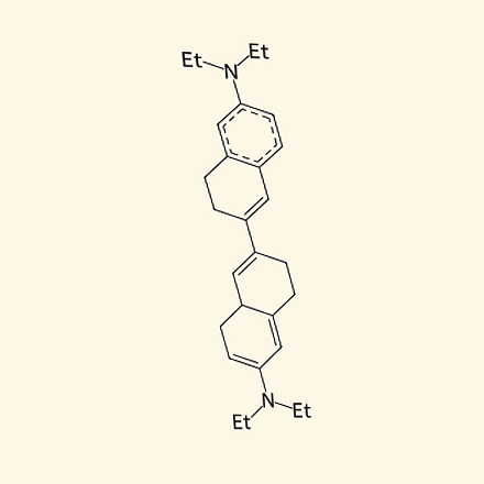 CCN(CC)C1=CCC2C=C(C3=Cc4ccc(N(CC)CC)cc4CC3)CCC2=C1